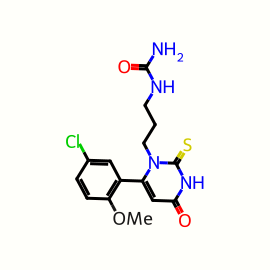 COc1ccc(Cl)cc1-c1cc(=O)[nH]c(=S)n1CCCNC(N)=O